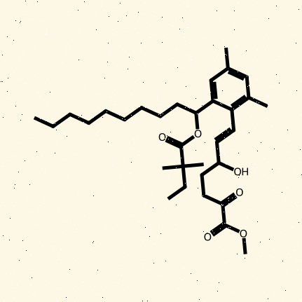 CCCCCCCCCC(OC(=O)C(C)(C)CC)c1cc(C)cc(C)c1C=CC(O)CCC(=O)C(=O)OC